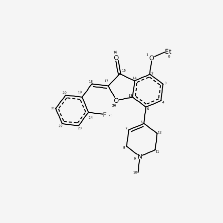 CCOc1ccc(C2=CCN(C)CC2)c2c1C(=O)/C(=C/c1ccccc1F)O2